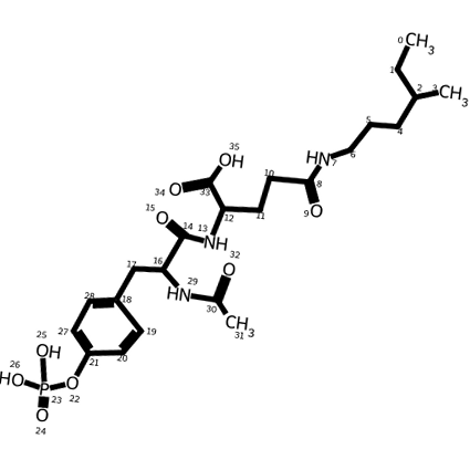 CCC(C)CCCNC(=O)CCC(NC(=O)C(Cc1ccc(OP(=O)(O)O)cc1)NC(C)=O)C(=O)O